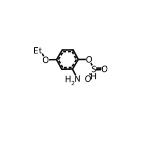 CCOc1ccc(O[SH](=O)=O)c(N)c1